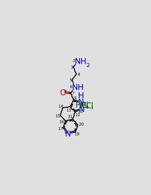 Cl.Cl.NCCCNC(=O)c1[nH]nc2c1CCc1cnccc1-2